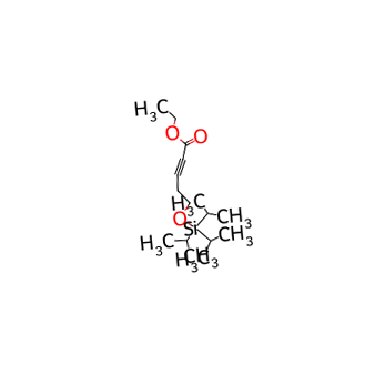 CCOC(=O)C#CCCO[Si](C(C)C)(C(C)C)C(C)C